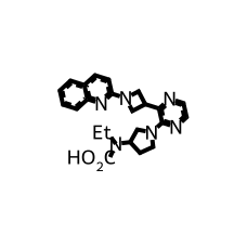 CCN(C(=O)O)C1CCN(c2nccnc2C2CN(c3ccc4ccccc4n3)C2)C1